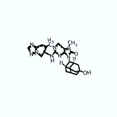 Cc1cc2ncnn2cc1Nc1ncc2c(n1)n(C1[C@@H]3CC4C[C@H]1CC(O)(C4)C3)c(=O)n2C